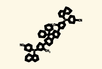 Cc1cc(N(c2ccc(C#N)cc2)c2cccc3ccccc23)ccc1-c1ccc2c(c1)C(c1ccccc1)(c1ccccc1)c1cc(-c3ccc(N(c4ccc(C#N)cc4)c4cccc5ccccc45)cc3C)ccc1-2